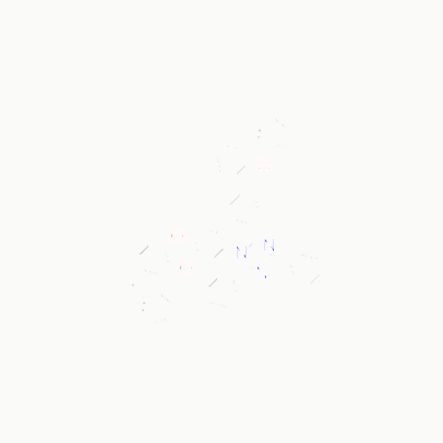 CC1(C)c2ccccc2-c2c1ccc1c2Oc2c(cccc2-c2ccccc2-c2nc(-c3ccccc3)nc(-c3ccc(-c4cccc5c4oc4ccccc45)cc3)n2)O1